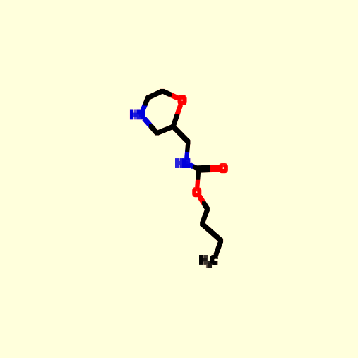 CCCCOC(=O)NCC1CNCCO1